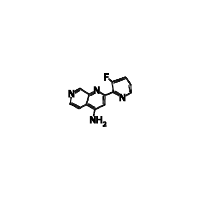 Nc1cc(-c2ncccc2F)nc2cnccc12